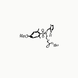 CCn1ccnc1CN(CCOCC(=O)OC(C)(C)C)S(=O)(=O)c1c(C)cc(OC)cc1C